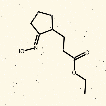 CCOC(=O)CCC1CCCC1=NO